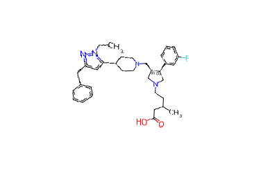 CCn1nc(Cc2ccccc2)cc1C1CCN(C[C@@H]2CN(CCC(C)CC(=O)O)C[C@@H]2c2cccc(F)c2)CC1